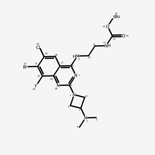 CN(C)C1CN(c2nc(NCCNC(=O)OC(C)(C)C)c3cc(Cl)c(Br)c(F)c3n2)C1